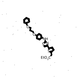 CCOC(=O)Cc1ccc(-c2csc(Nc3ccc(OCCCOc4ccccc4)cc3)n2)s1